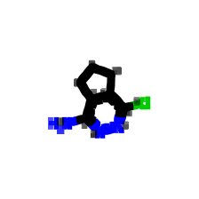 Nc1nnc(Cl)c2c1CCC2